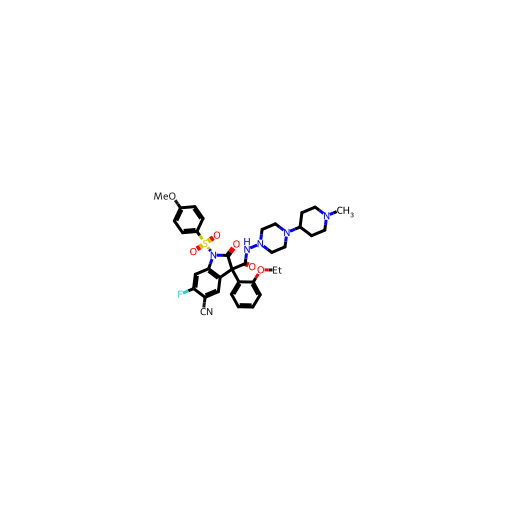 CCOc1ccccc1C1(C(=O)NN2CCN(C3CCN(C)CC3)CC2)C(=O)N(S(=O)(=O)c2ccc(OC)cc2)c2cc(F)c(C#N)cc21